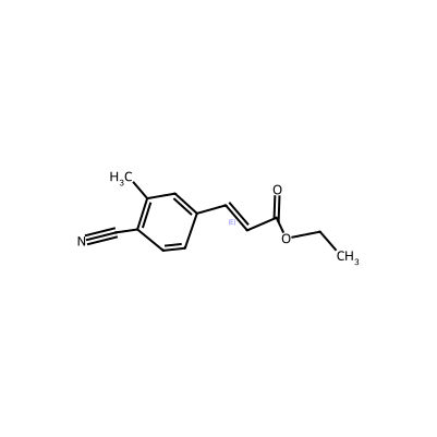 CCOC(=O)/C=C/c1ccc(C#N)c(C)c1